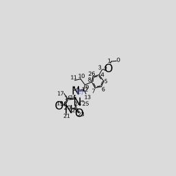 CCOCc1cccc(C(CC)/C(C)=N/c2c(C)c(=O)n(C)c(=O)n2C)c1